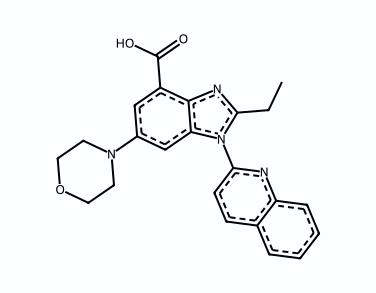 CCc1nc2c(C(=O)O)cc(N3CCOCC3)cc2n1-c1ccc2ccccc2n1